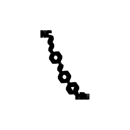 CCCCc1ccc([C@H]2CC[C@H](C=C[C@H]3CC[C@H](CCC=CC#N)CC3)CC2)cc1